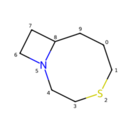 C1CSCCN2CCC2C1